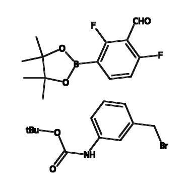 CC(C)(C)OC(=O)Nc1cccc(CBr)c1.CC1(C)OB(c2ccc(F)c(C=O)c2F)OC1(C)C